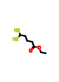 CCOC(=O)CCCC(S)S